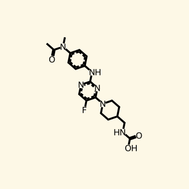 CC(=O)N(C)c1ccc(Nc2ncc(F)c(N3CCC(CNC(=O)O)CC3)n2)cc1